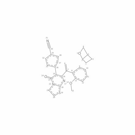 C1CC2OCC12.C=C(c1ccccc1OC)c1nc2sccn2c(=O)c1-c1ccc(C#N)cc1